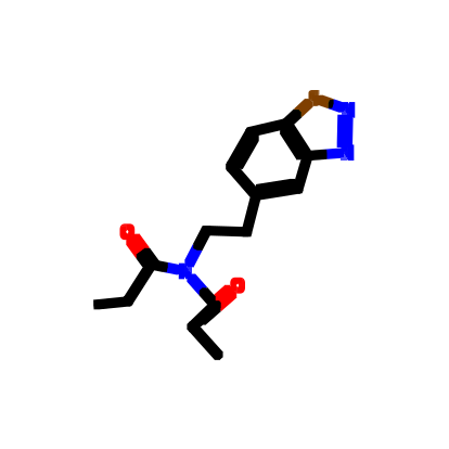 CCC(=O)N(CCc1ccc2snnc2c1)C(=O)CC